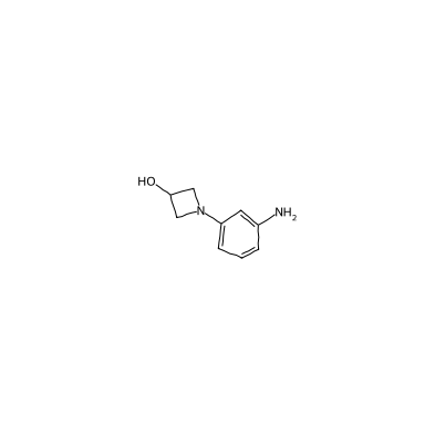 Nc1cccc(N2CC(O)C2)c1